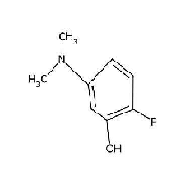 CN(C)c1ccc(F)c(O)c1